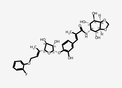 CC(=Cc1ccc(O[C@@H]2O[C@H](C(C)=CCOc3ccccc3F)[C@@H](O)[C@@H]2O)c(O)c1)C(=O)N[C@@H]1[C@H](O)[C@@H](O)[C@H]2OCO[C@H]2[C@@H]1O